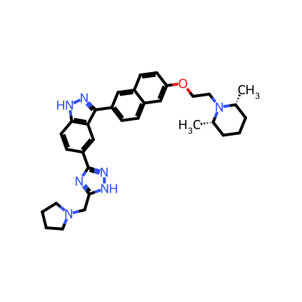 C[C@@H]1CCC[C@H](C)N1CCOc1ccc2cc(-c3n[nH]c4ccc(-c5n[nH]c(CN6CCCC6)n5)cc34)ccc2c1